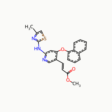 COC(=O)/C=C/c1cnc(Nc2nc(C)cs2)cc1Oc1cccc2ccccc12